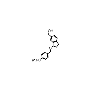 COc1ccc(COC2CCc3ccc(CO)cc32)cc1